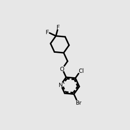 FC1(F)CCC(COc2ncc(Br)cc2Cl)CC1